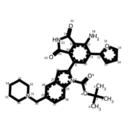 CC(C)(C)OC(=O)n1c(-c2cc(-c3ccco3)c(N)c3c2C(=O)NC3=O)cc2cc(CN3CCCCC3)ccc21